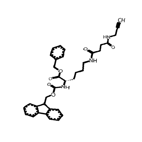 C#CCNC(=O)CCC(=O)NCCCC[C@H](NC(=O)OCC1c2ccccc2-c2ccccc21)C(=O)OCc1ccccc1